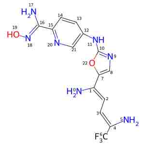 N/C(=C\C=C(/N)C(F)(F)F)c1cnc(Nc2ccc(/C(N)=N/O)nc2)o1